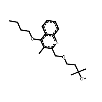 CCCCOc1c(C)c(COCCC(C)(C)O)nc2ccccc12